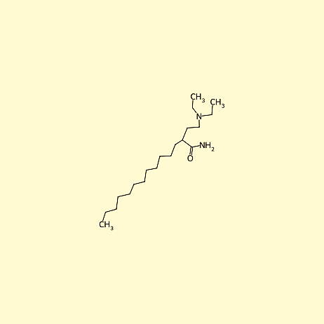 CCCCCCCCCCCCC(CCN(CC)CC)C(N)=O